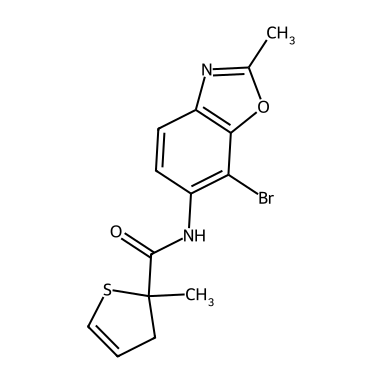 Cc1nc2ccc(NC(=O)C3(C)CC=CS3)c(Br)c2o1